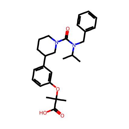 CC(C)N(Cc1ccccc1)C(=O)N1CCCC(c2cccc(OC(C)(C)C(=O)O)c2)C1